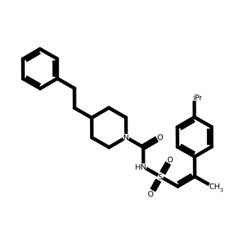 CC(=CS(=O)(=O)NC(=O)N1CCC(CCc2ccccc2)CC1)c1ccc(C(C)C)cc1